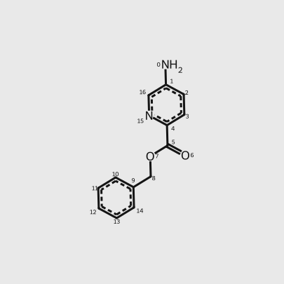 Nc1ccc(C(=O)OCc2ccccc2)nc1